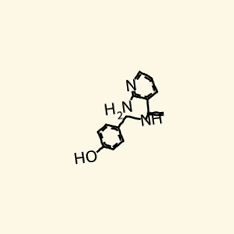 C=C(NCc1ccc(O)cc1)c1cccnc1N